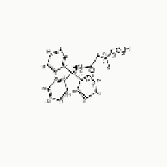 C[C@@H](CC(=O)NC(c1ccccc1)(c1ccccc1)c1ccccc1)C(=O)O